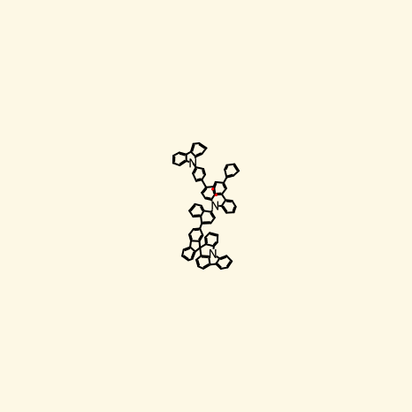 c1ccc(-c2cccc(-c3ccccc3N(c3ccc(-c4ccc(-n5c6ccccc6c6ccccc65)cc4)cc3)c3ccc(-c4ccc5c(c4)C4(c6ccccc6-5)c5ccccc5-n5c6ccccc6c6cccc4c65)c4ccccc34)c2)cc1